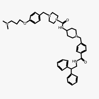 CN(C)CCCOc1ccc(CN2CCN(C(=O)NC3CCN(Cc4ccc(C(=O)NCC(c5ccccc5)c5ccccc5)cc4)CC3)CC2)cc1